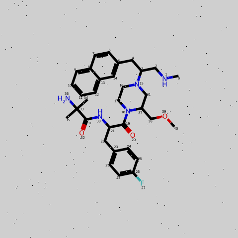 CNCC(Cc1ccc2ccccc2c1)N1CCN(C(=O)C(Cc2ccc(F)cc2)NC(=O)C(C)(C)N)C(COC)C1